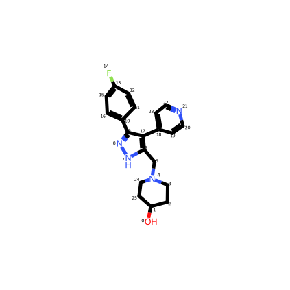 OC1CCN(Cc2[nH]nc(-c3ccc(F)cc3)c2-c2ccncc2)CC1